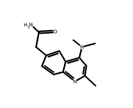 Cc1cc(N(C)C)c2cc(CC(N)=O)ccc2n1